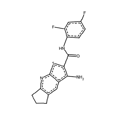 Nc1c(C(=O)Nc2ccc(F)cc2F)sc2nc3c(cc12)CCC3